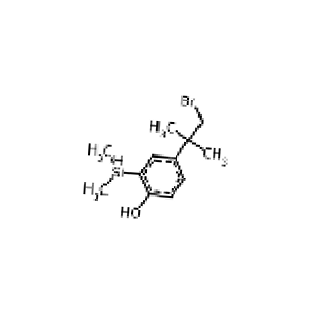 C[SiH](C)c1cc(C(C)(C)CBr)ccc1O